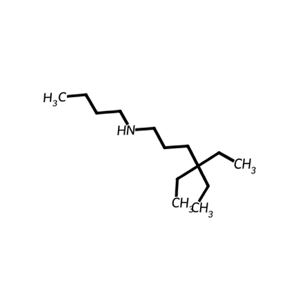 CCCCNCCCC(CC)(CC)CC